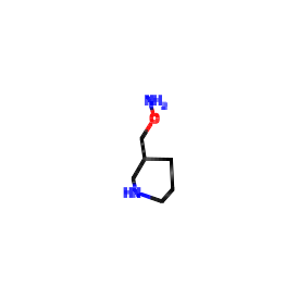 NOCC1CCCNC1